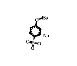 CC(C)(C)Oc1ccc(S(=O)(=O)[O-])cc1.[Na+]